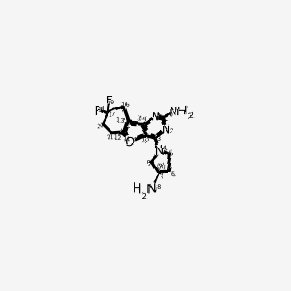 Nc1nc(N2CC[C@@H](N)C2)c2oc3c(c2n1)CC(F)(F)CC3